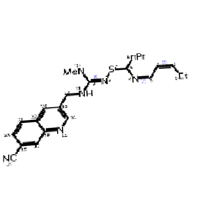 CC/C=C\C=N/C(CCC)S/N=C(\NC)NCc1cnc2cc(C#N)ccc2c1